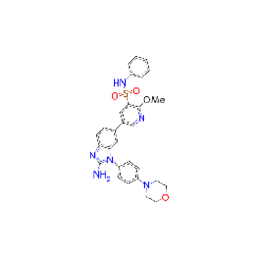 COc1ncc(-c2ccc3nc(N)n(-c4ccc(N5CCOCC5)cc4)c3c2)cc1S(=O)(=O)Nc1ccccc1